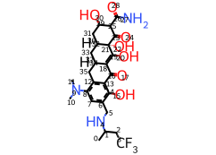 CC(CC(F)(F)F)NCc1cc(N(C)C)c2c(c1O)C(=O)C1=C(O)[C@]3(O)C(=O)C(C(N)=O)C(O)C[C@@H]3C[C@@H]1C2